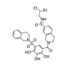 CCC(CC)CN[S+]([O-])c1ccc2c(c1)CN(C(=O)c1cc(S(=O)(=O)N3CCc4ccccc4C3)c(O)c(O)c1O)CC2